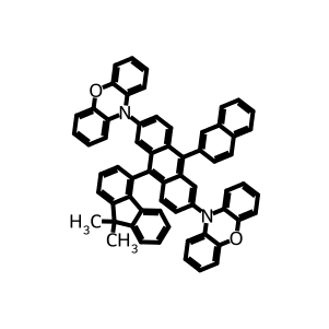 CC1(C)c2ccccc2-c2c(-c3c4ccc(N5c6ccccc6Oc6ccccc65)cc4c(-c4ccc5ccccc5c4)c4ccc(N5c6ccccc6Oc6ccccc65)cc34)cccc21